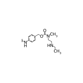 CCNCCN(C)C(=O)OCc1ccc(NI)cc1